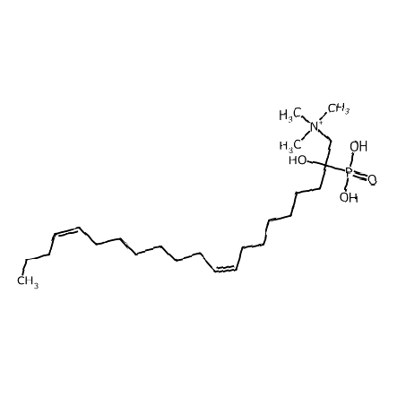 CCC/C=C\CCCCCC/C=C\CCCCCCC(O)(C[N+](C)(C)C)P(=O)(O)O